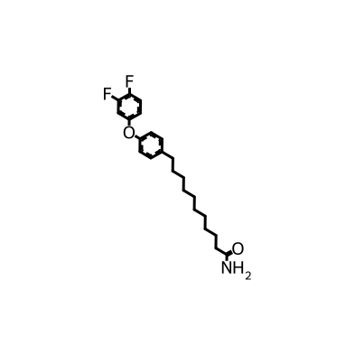 NC(=O)CCCCCCCCCCc1ccc(Oc2ccc(F)c(F)c2)cc1